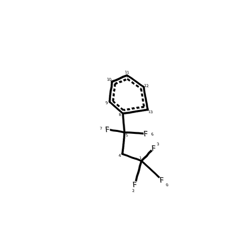 FC(F)(F)CC(F)(F)c1cc[c]cc1